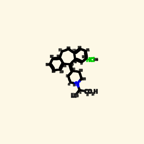 CCC(C(=O)O)N1CCC(=C2c3ccccc3CCc3ccccc32)CC1.Cl